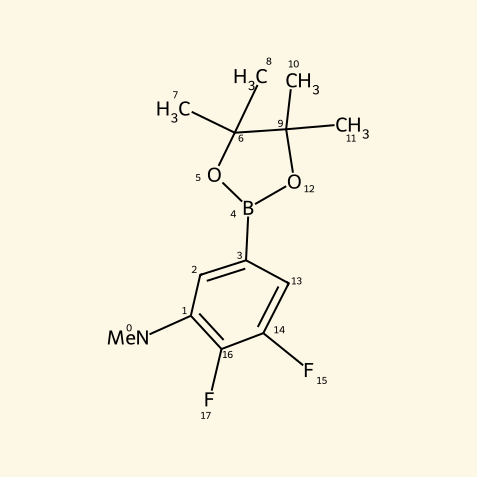 CNc1cc(B2OC(C)(C)C(C)(C)O2)cc(F)c1F